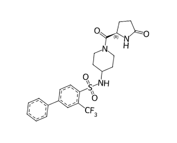 O=C1CC[C@H](C(=O)N2CCC(NS(=O)(=O)c3ccc(-c4ccccc4)cc3C(F)(F)F)CC2)N1